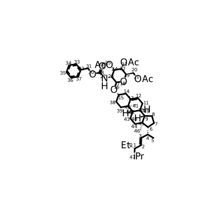 CC[C@H](/C=C/C(C)[C@H]1CC[C@H]2[C@@H]3CC=C4C[C@@H](OC5O[C@H](COC(C)=O)[C@@H](OC(C)=O)[C@H](OC(C)=O)[C@H]5NC(=O)OCc5ccccc5)CC[C@]4(C)[C@H]3CC[C@]12C)C(C)C